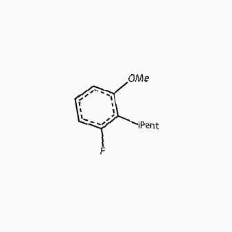 CCCC(C)c1c(F)cccc1OC